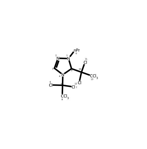 CCCN1N=CN(C(Cl)(Cl)C(Cl)(Cl)Cl)C1C(Cl)(Cl)C(Cl)(Cl)Cl